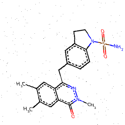 Cc1cc2c(Cc3ccc4c(c3)CCN4S(N)(=O)=O)nn(C)c(=O)c2cc1C